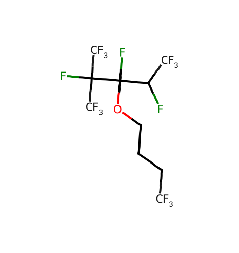 FC(C(F)(F)F)C(F)(OCCCC(F)(F)F)C(F)(C(F)(F)F)C(F)(F)F